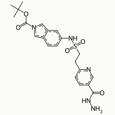 CC(C)(C)OC(=O)n1cc2ccc(NS(=O)(=O)CCc3ccc(C(=O)NN)cn3)cc2c1